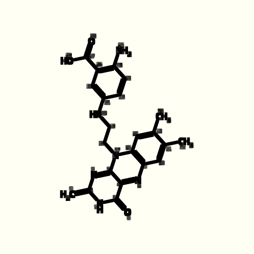 C=c1nc2c(c(=O)[nH]1)=Nc1cc(C)c(C)cc1N2CCNc1ccc(N)c(C(=O)O)c1